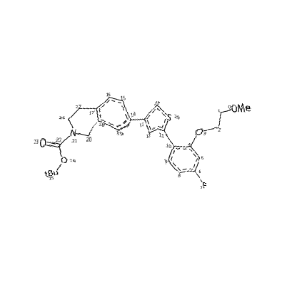 COCCOc1cc(F)ccc1-c1cc(-c2ccc3c(c2)CN(C(=O)OC(C)(C)C)CC3)cs1